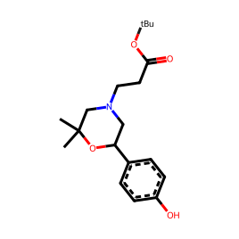 CC(C)(C)OC(=O)CCN1CC(c2ccc(O)cc2)OC(C)(C)C1